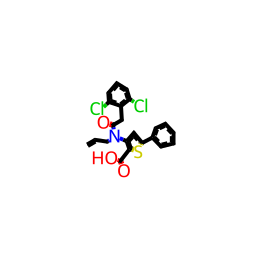 C=CCN(C(=O)Cc1c(Cl)cccc1Cl)c1cc(-c2ccccc2)sc1C(=O)O